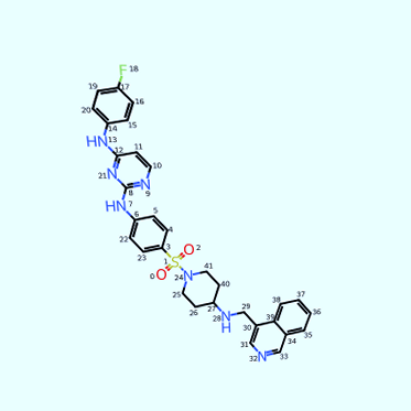 O=S(=O)(c1ccc(Nc2nccc(Nc3ccc(F)cc3)n2)cc1)N1CCC(NCc2cncc3ccccc23)CC1